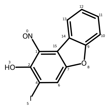 O=Nc1c(O)c(I)cc2oc3ccccc3c12